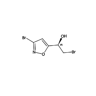 O[C@@H](CBr)c1cc(Br)no1